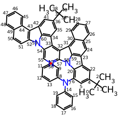 CC(C)(C)c1cc(N(c2ccccc2)c2ccccc2)c2c(c1)c1cc3ccccc3c3c4c5c6cc(C(C)(C)C)cc7c8c9ccccc9ccc8n(c5cnc4n2c13)c76